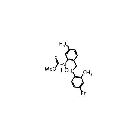 CCc1ccc(OCc2ccc(C)cc2N(O)C(=S)OC)c(C)c1